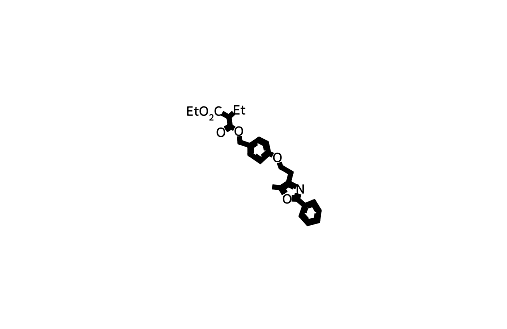 CCOC(=O)C(CC)C(=O)OCc1ccc(OCCc2nc(-c3ccccc3)oc2C)cc1